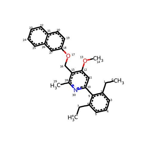 CCc1cccc(CC)c1-c1cc(OC)c(COc2ccc3ccccc3c2)c(C)n1